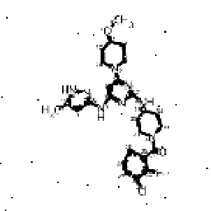 COC1CCN(c2cc(Nc3cc(C)[nH]n3)nc(NC3CCN(C(=O)c4cccc(Cl)c4F)CC3)n2)CC1